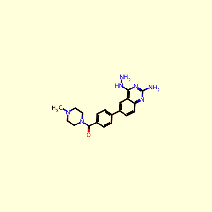 CN1CCN(C(=O)c2ccc(-c3ccc4nc(N)nc(NN)c4c3)cc2)CC1